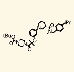 CC(C)c1ccc(CN(C)C(=O)[C@H]2CCCN(c3cccc(OC(C)(C)C(=O)N4CCN(C(=O)OC(C)(C)C)CC4)c3)C2)cc1